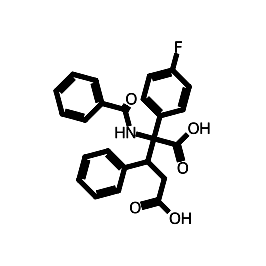 O=C(O)CC(c1ccccc1)C(NC(=O)c1ccccc1)(C(=O)O)c1ccc(F)cc1